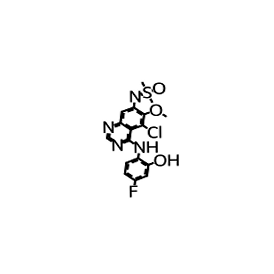 COc1c(N=S(C)(C)=O)cc2ncnc(Nc3ccc(F)cc3O)c2c1Cl